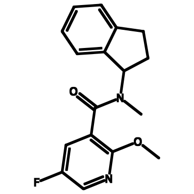 COc1ncc(F)cc1C(=O)N(C)C1CCc2ccccc21